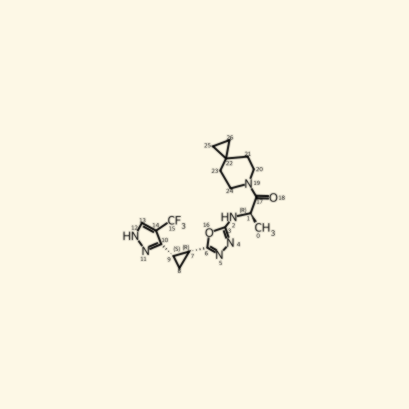 C[C@@H](Nc1nnc([C@@H]2C[C@@H]2c2n[nH]cc2C(F)(F)F)o1)C(=O)N1CCC2(CC1)CC2